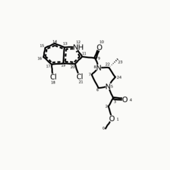 COCC(=O)N1CCN(C(=O)c2[nH]c3cccc(Cl)c3c2Cl)[C@H](C)C1